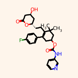 CC1(C)CC(OC(=O)Nc2cccnc2)CC(c2ccc(F)cc2)=C1CC[C@H]1C[C@H](O)CC(=O)O1